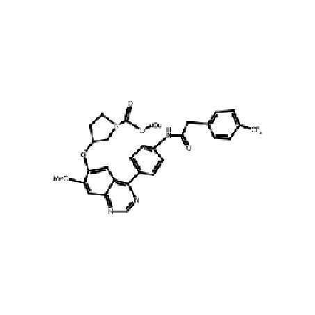 COc1cc2ncnc(-c3ccc(NC(=O)Cc4ccc(C(F)(F)F)cc4)cc3)c2cc1OC1CCN(C(=O)OC(C)(C)C)C1